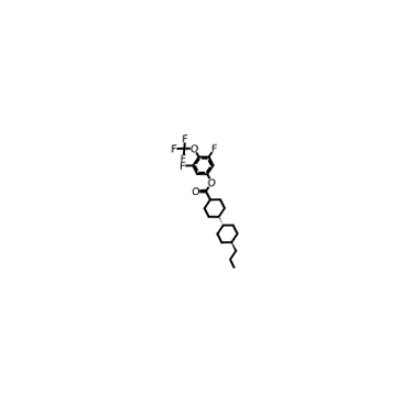 CCC[C@H]1CC[C@H](C2CCC(C(=O)Oc3cc(F)c(OC(F)(F)F)c(F)c3)CC2)CC1